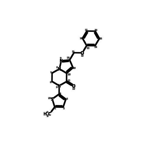 Cc1ccc(N2CCn3nc(COc4ccccc4)cc3C2=O)s1